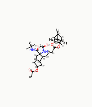 CC(=O)NC1(C(=O)NC(C)(C)C)CC2CC(OC(C)=O)CC2C1CCCB1O[C@@H]2C[C@@H]3C[C@@H](C3(C)C)[C@]2(C)O1